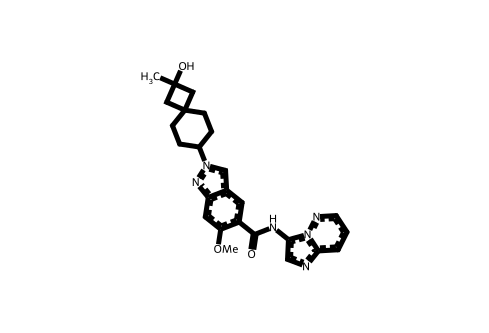 COc1cc2nn(C3CCC4(CC3)CC(C)(O)C4)cc2cc1C(=O)Nc1cnc2cccnn12